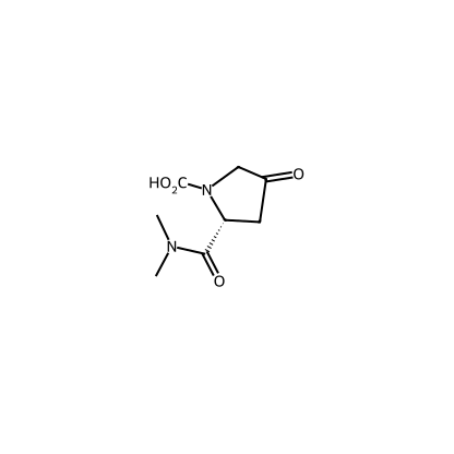 CN(C)C(=O)[C@H]1CC(=O)CN1C(=O)O